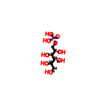 O=P(O)(O)OC[C@H](O)[C@@H](O)[C@H](O)[C@H](O)CO